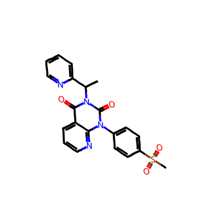 CC(c1ccccn1)n1c(=O)c2cccnc2n(-c2ccc(S(C)(=O)=O)cc2)c1=O